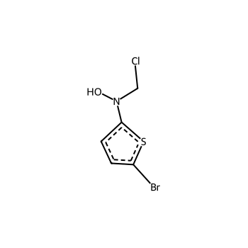 ON(CCl)c1ccc(Br)s1